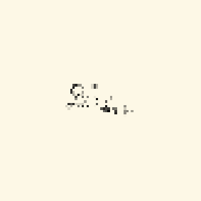 Cl.O=C1O[C@]2(CC[C@H](C(=O)NN3CCNCC3)CC2)c2ccccc21